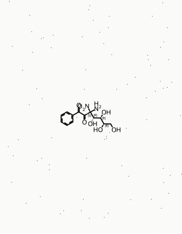 N[C@@](C(=O)C(=O)c1ccccc1)([C@@H](O)[C@@H](O)[C@H](O)CO)[N+](=O)[O-]